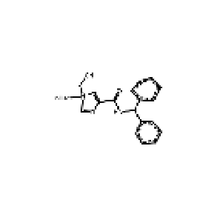 CCCCCC[N+]1(CC#N)C=NC(C(=O)NC(c2ccccc2)c2ccccc2)=C1